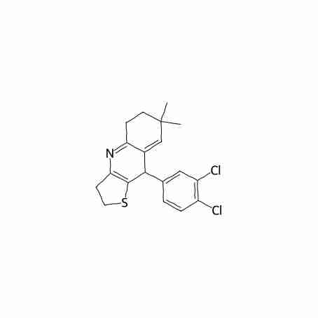 CC1(C)C=C2C(=NC3=C(SCC3)C2c2ccc(Cl)c(Cl)c2)CC1